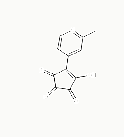 Cc1cc(-c2c(O)c(=O)c(=O)c2=O)ccn1